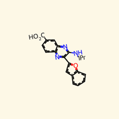 CC(C)Nc1nc2cc(C(=O)O)ccc2nc1-c1cc2ccccc2o1